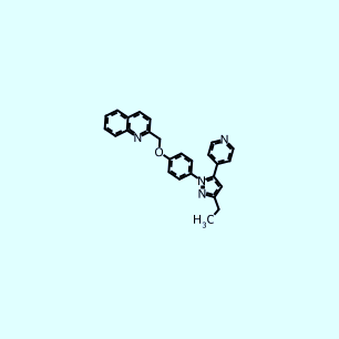 CCc1cc(-c2ccncc2)n(-c2ccc(OCc3ccc4ccccc4n3)cc2)n1